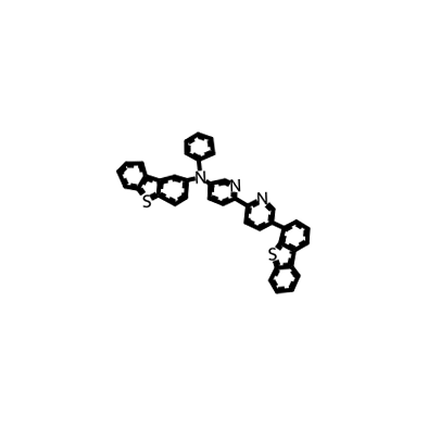 c1ccc(N(c2ccc(-c3ccc(-c4cccc5c4sc4ccccc45)cn3)nc2)c2ccc3sc4ccccc4c3c2)cc1